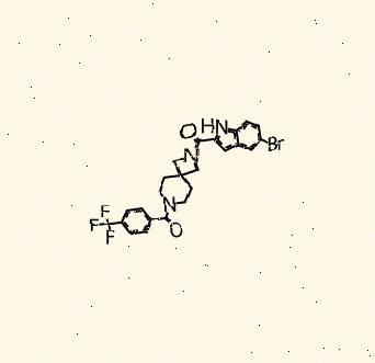 O=C(c1ccc(C(F)(F)F)cc1)N1CCC2(CC1)CN(C(=O)c1cc3cc(Br)ccc3[nH]1)C2